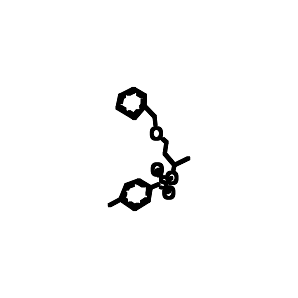 Cc1ccc(S(=O)(=O)OC(C)CCOCc2ccccc2)cc1